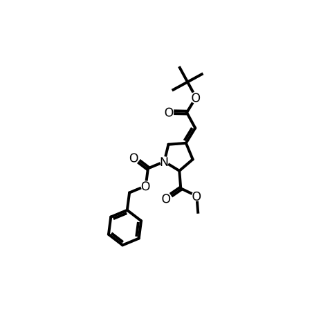 COC(=O)C1C/C(=C/C(=O)OC(C)(C)C)CN1C(=O)OCc1ccccc1